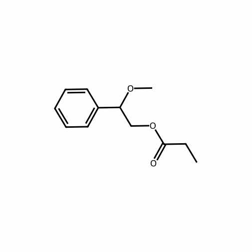 CCC(=O)OCC(OC)c1ccccc1